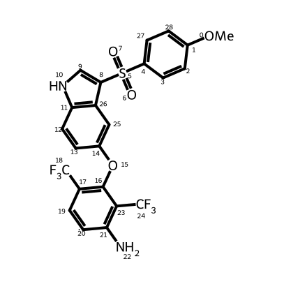 COc1ccc(S(=O)(=O)c2c[nH]c3ccc(Oc4c(C(F)(F)F)c[c]c(N)c4C(F)(F)F)cc23)cc1